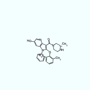 Cc1cccc(C)c1Oc1c(C(=O)N2CCN[C@@H](C)C2)c2ncc(O)cc2n1-c1ccccc1